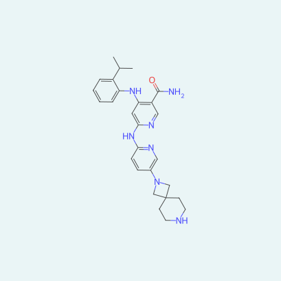 CC(C)c1ccccc1Nc1cc(Nc2ccc(N3CC4(CCNCC4)C3)cn2)ncc1C(N)=O